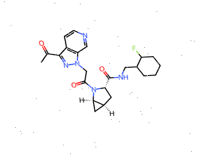 CC(=O)c1nn(CC(=O)N2[C@@H]3C[C@@H]3C[C@H]2C(=O)NCC2CCCCC2F)c2cnccc12